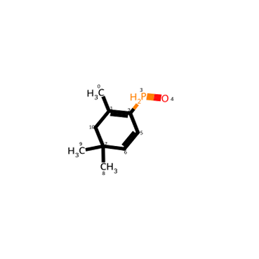 CC1=C([PH2]=O)C=CC(C)(C)C1